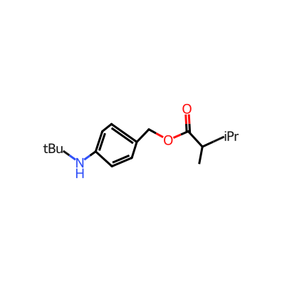 CC(C)C(C)C(=O)OCc1ccc(NC(C)(C)C)cc1